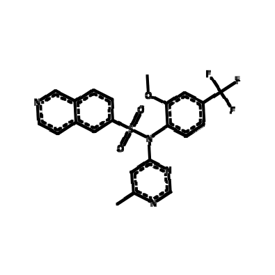 COc1cc(C(F)(F)F)ccc1N(c1cc(C)ncn1)S(=O)(=O)c1ccc2cnccc2c1